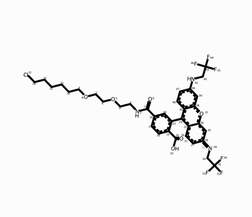 O=C(NCCOCCOCCCCCCCl)c1ccc(C(=O)O)c(-c2c3cc/c(=N\CC(F)(F)F)cc-3oc3cc(NCC(F)(F)F)ccc23)c1